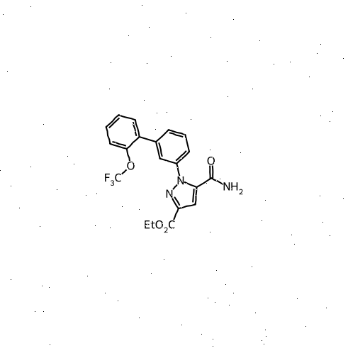 CCOC(=O)c1cc(C(N)=O)n(-c2cccc(-c3ccccc3OC(F)(F)F)c2)n1